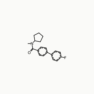 CN(C(=O)c1ccc(-c2ccc(F)cc2)cc1)C1CCCC1